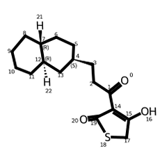 O=C(CC[C@@H]1CC[C@H]2CCCC[C@@H]2C1)C1=C(O)CSC1=O